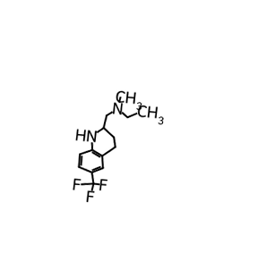 CCN(C)CC1CCc2cc(C(F)(F)F)ccc2N1